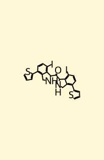 O=C(C1NCc2c(-c3cccs3)ccc(I)c21)C1NCc2c(-c3cccs3)ccc(I)c21